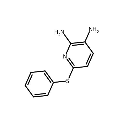 Nc1ccc(Sc2ccccc2)nc1N